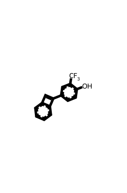 Oc1ccc(C2=Cc3ccccc32)cc1C(F)(F)F